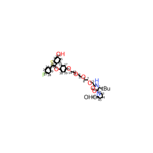 CC(C)(C)C(NC(=O)COCCOCCOCCOc1ccc(Oc2c(-c3ccc(F)cc3)sc3cc(O)ccc23)cc1)C(=O)N1CCC[C@H]1C=O